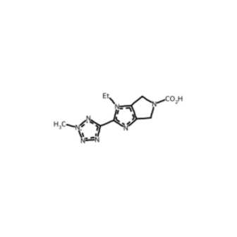 CCn1c(-c2nnn(C)n2)nc2c1CN(C(=O)O)C2